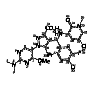 COc1nc(N(C)C)ncc1-n1nc(C(=O)O)c(C(Nc2cc(Cl)cn(C)c2=O)c2ccc(Cl)c(F)c2)c1C(C)C